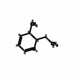 CCC1N=CC=CC1C